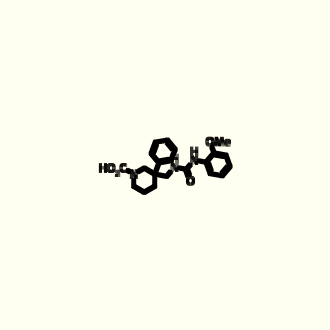 COc1ccccc1NC(=O)NCC1(c2ccccc2)CCCN(C(=O)O)C1